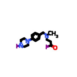 CN(CCC(=O)I)Cc1ccc(N2CCN(I)CC2)cc1